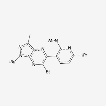 CCc1nc2c(nc1-c1ccc(C(C)C)nc1NC)c(C)nn2C(C)CC